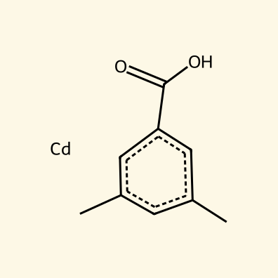 Cc1cc(C)cc(C(=O)O)c1.[Cd]